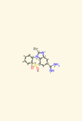 CCc1nc2cc(C(=N)N)cc3c2n1-c1ccccc1S3(=O)=O